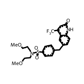 COCCN(CCOC)S(=O)(=O)c1ccc(Cc2ccc3[nH]c(=O)cc(C(F)(F)F)c3c2)cc1